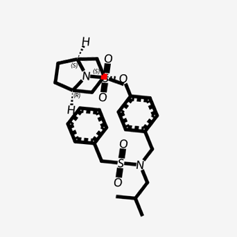 CC(C)CN(Cc1ccc(O[C@@H]2C[C@H]3CC[C@@H](C2)N3S(C)(=O)=O)cc1)S(=O)(=O)Cc1ccccc1